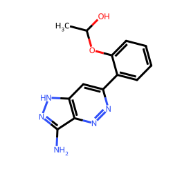 CC(O)Oc1ccccc1-c1cc2[nH]nc(N)c2nn1